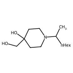 CCCCCCC(C)N1CCC(O)(CO)CC1